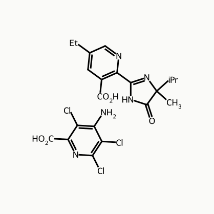 CCc1cnc(C2=NC(C)(C(C)C)C(=O)N2)c(C(=O)O)c1.Nc1c(Cl)c(Cl)nc(C(=O)O)c1Cl